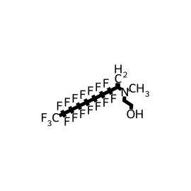 C=C(N(C)CCO)C(F)(F)C(F)(F)C(F)(F)C(F)(F)C(F)(F)C(F)(F)C(F)(F)C(F)(F)F